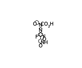 O=C1CCC(c2c(F)cc(N3CC(N(C(=O)O)[C@@H]4CCCOC4)C3)cc2F)C(=O)N1